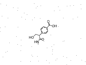 CNC(=O)C(CO)c1ccc(C(=O)O)cc1